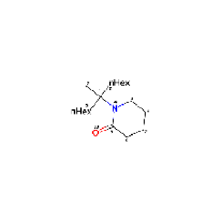 CCCCCCC(C)(CCCCCC)N1CCCCC1=O